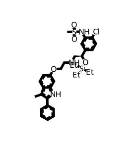 CC[Si](CC)(CC)O[C@@H](CNCCOc1ccc2c(C)c(-c3ccccc3)[nH]c2c1)c1ccc(Cl)c(NS(C)(=O)=O)c1